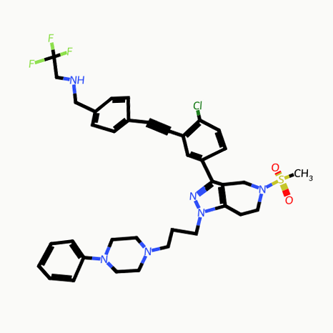 CS(=O)(=O)N1CCc2c(c(-c3ccc(Cl)c(C#Cc4ccc(CNCC(F)(F)F)cc4)c3)nn2CCCN2CCN(c3ccccc3)CC2)C1